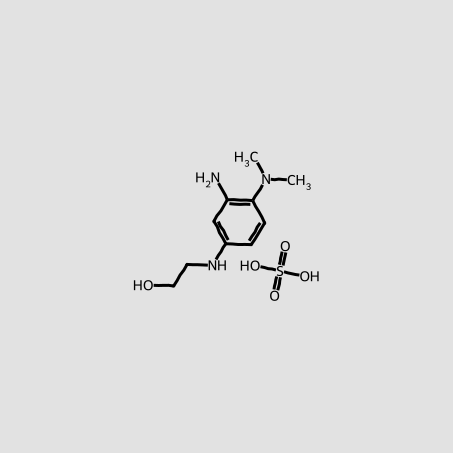 CN(C)c1ccc(NCCO)cc1N.O=S(=O)(O)O